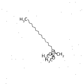 C=C(CCCCCCCCCCCCCCCCCC)[SiH](OC)OC